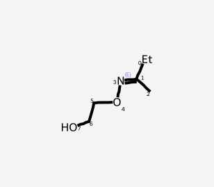 CC/C(C)=N/OCCO